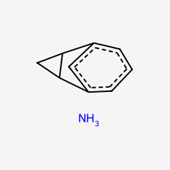 N.c1cc2cc(c1)C1CC21